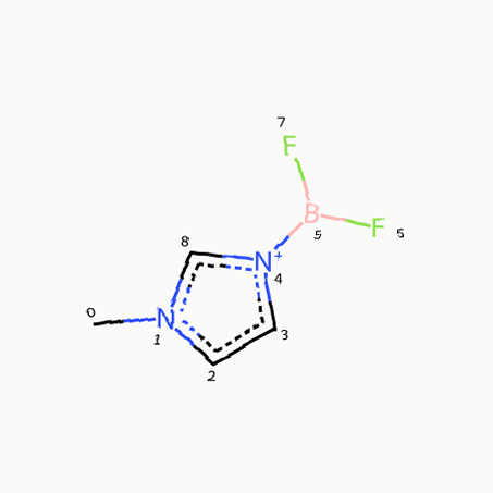 Cn1cc[n+](B(F)F)c1